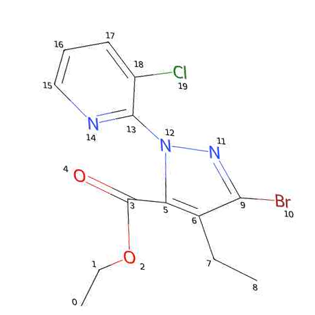 CCOC(=O)c1c(CC)c(Br)nn1-c1ncccc1Cl